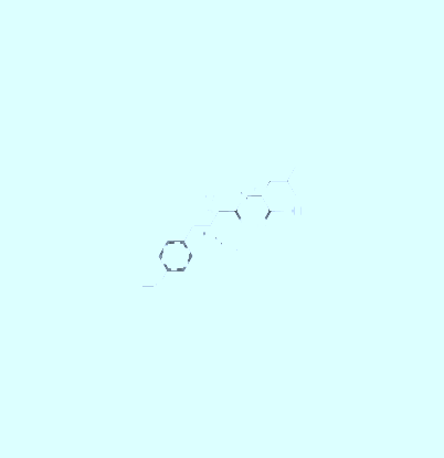 CSc1ccc(C[C@@H](N)[C@H](O)C(=O)N[C@@H](CC(C)C)C(=O)O)cc1